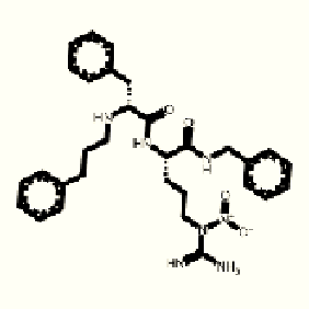 N=C(N)N(CCC[C@H](NC(=O)[C@@H](Cc1ccccc1)NCCCc1ccccc1)C(=O)NCc1ccccc1)[N+](=O)[O-]